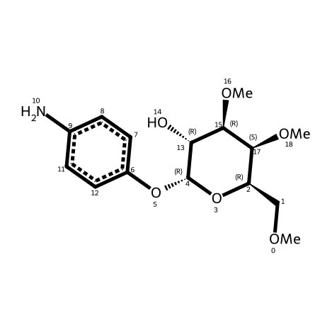 COC[C@H]1O[C@H](Oc2ccc(N)cc2)[C@H](O)[C@@H](OC)[C@H]1OC